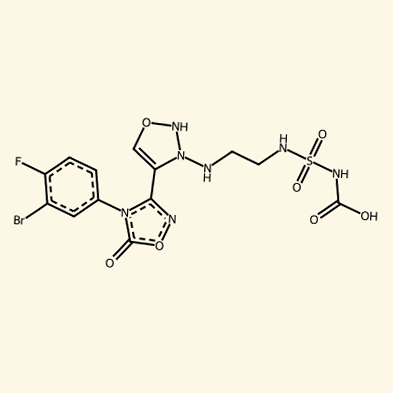 O=C(O)NS(=O)(=O)NCCNN1NOC=C1c1noc(=O)n1-c1ccc(F)c(Br)c1